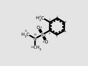 [CH2]c1ccccc1S(=O)(=O)N(C)C